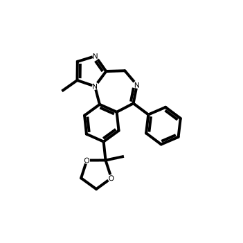 Cc1cnc2n1-c1ccc(C3(C)OCCO3)cc1C(c1ccccc1)=NC2